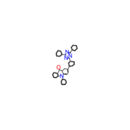 O=C1c2ccccc2N(c2ccccc2)C2=CC=C(c3cccc(-c4nc(-c5ccccc5)nc(-c5ccccc5)n4)c3)CC12